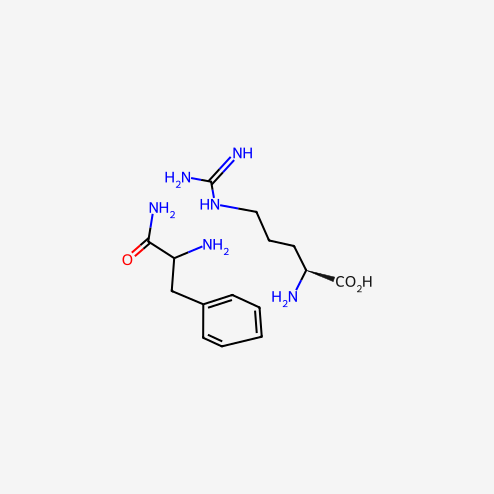 N=C(N)NCCC[C@H](N)C(=O)O.NC(=O)C(N)Cc1ccccc1